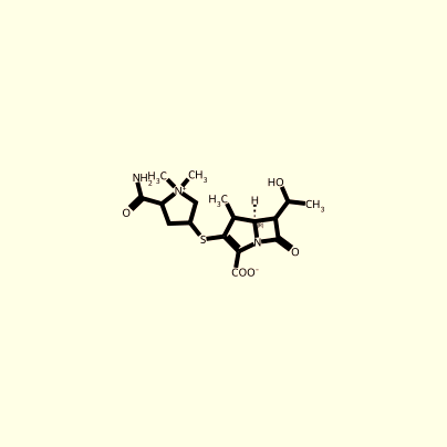 CC(O)C1C(=O)N2C(C(=O)[O-])=C(SC3CC(C(N)=O)[N+](C)(C)C3)C(C)[C@@H]12